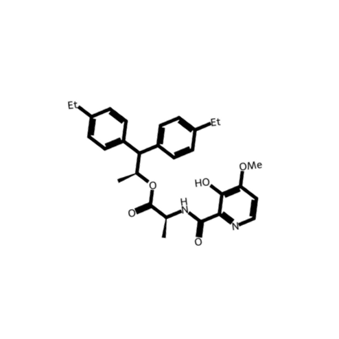 CCc1ccc(C(c2ccc(CC)cc2)[C@H](C)OC(=O)[C@H](C)NC(=O)c2nccc(OC)c2O)cc1